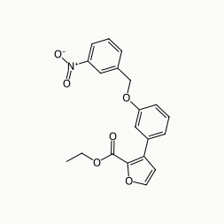 CCOC(=O)c1occc1-c1cccc(OCc2cccc([N+](=O)[O-])c2)c1